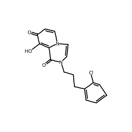 O=c1ccn2ccn(CCCc3ccccc3Cl)c(=O)c2c1O